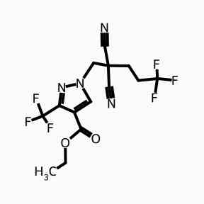 CCOC(=O)c1cn(CC(C#N)(C#N)CCC(F)(F)F)nc1C(F)(F)F